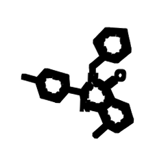 Cc1ccc(-c2nc3c(C)cccc3c(=O)n2Cc2ccccc2)cc1